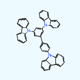 c1ccc2c(c1)c1ccccc1n2-c1ccc(-c2cc(-n3c4ccccc4c4ccccc43)cc(-n3c4ccccc4c4ccccc43)c2)cc1